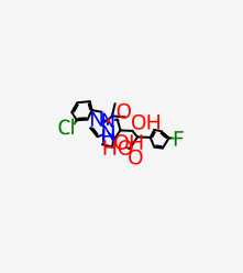 CCC(O)(C(C(=O)NCc1cccc(Cl)c1)C(O)C(C(=O)O)c1ccc(F)cc1)n1ccnc1C(C)C